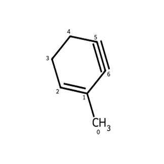 CC1=CCCC#C1